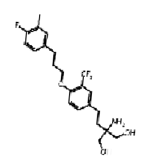 Cc1cc(CCCOc2ccc(CCC(N)(CO)CO)cc2C(F)(F)F)ccc1F